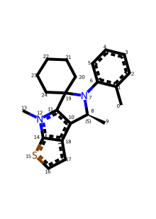 Cc1ccccc1N1[C@@H](C)c2c(n(C)c3sccc23)C12CCCCC2